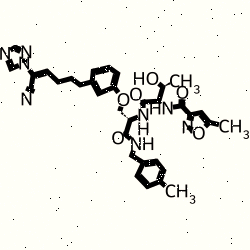 Cc1ccc(CNC(=O)[C@H](COc2cccc(CCC/C=C(\C#N)n3cncn3)c2)NC(=O)[C@@H](NC(=O)c2cc(C)on2)[C@@H](C)O)cc1